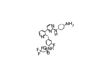 N[C@H]1CC[C@H](Nc2nccc(-c3cccnc3Cc3ccc(NS(=O)(=O)CC(F)(F)F)c(F)c3)n2)CC1